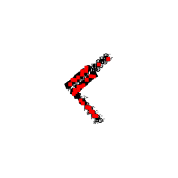 C1=CC[C]([Ti+2][C]2=CC=CC2)=C1.C1=CC[C]([Ti+2][C]2=CC=CC2)=C1.C1=CC[C]([Ti+2][C]2=CC=CC2)=C1.C1=CC[C]([Ti+2][C]2=CC=CC2)=C1.C1=CC[C]([Ti+2][C]2=CC=CC2)=C1.C1=CC[C]([Ti+2][C]2=CC=CC2)=C1.C1=CC[C]([Ti+2][C]2=CC=CC2)=C1.COB([O-])F.COB([O-])F.[O-]B([O-])F.[O-]B([O-])F.[O-]B([O-])F.[O-]B([O-])F.[O-]B([O-])F.[O-]B([O-])F